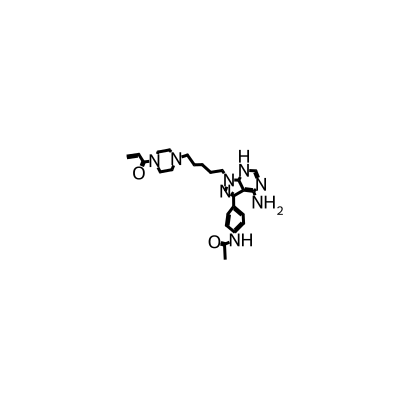 C=CC(=O)N1CCN(CCCCCN2N=C(c3ccc(NC(C)=O)cc3)C3=C(N)N=CNC32)CC1